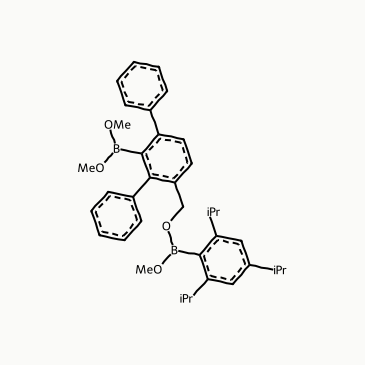 COB(OCc1ccc(-c2ccccc2)c(B(OC)OC)c1-c1ccccc1)c1c(C(C)C)cc(C(C)C)cc1C(C)C